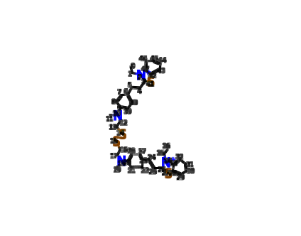 CC[n+]1c(/C=C/c2ccc(N(C)CCSSCCN(C)c3ccc(/C=C/c4sc5ccccc5[n+]4CC)cc3)cc2)sc2ccccc21